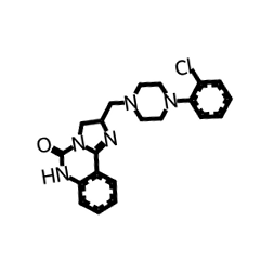 O=C1Nc2ccccc2C2=NC(CN3CCN(c4ccccc4Cl)CC3)CN12